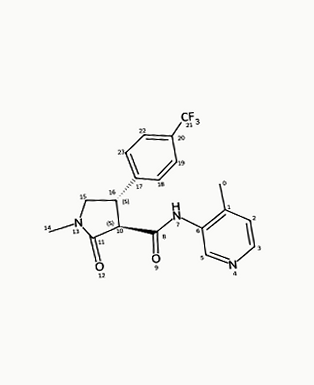 Cc1ccncc1NC(=O)[C@H]1C(=O)N(C)C[C@@H]1c1ccc(C(F)(F)F)cc1